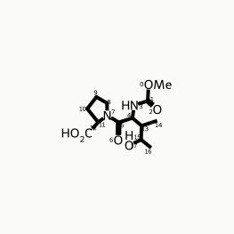 COC(=O)NC(C(=O)N1CCCC1C(=O)O)C(C)C(C)O